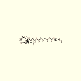 CCCCCCCCCCCCCCC1(N)CCCCC1